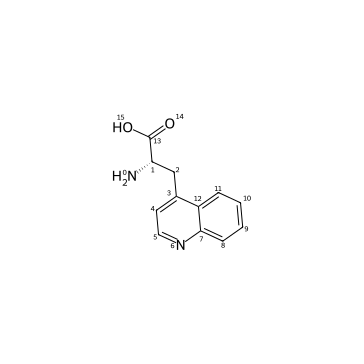 N[C@@H](Cc1ccnc2ccccc12)C(=O)O